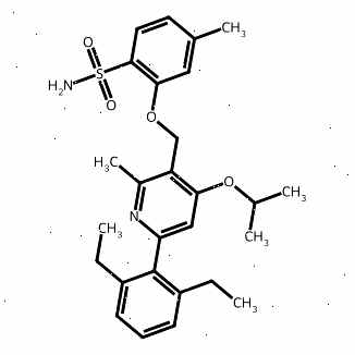 CCc1cccc(CC)c1-c1cc(OC(C)C)c(COc2cc(C)ccc2S(N)(=O)=O)c(C)n1